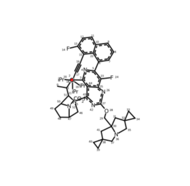 CC1Oc2nc(-c3cccc4ccc(F)c(C#C[Si](C(C)C)(C(C)C)C(C)C)c34)c(F)c3nc(OCC45CC6(CC6)CN4CC4(CC4)C5)nc(c23)N2CC3CCC(C12)N3C(=O)O